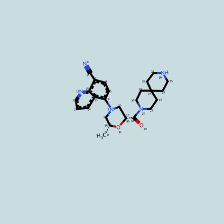 C[C@@H]1CN(c2ccc(C#N)c3ncccc23)C[C@H](C(=O)N2CCC3(CCNCC3)CC2)O1